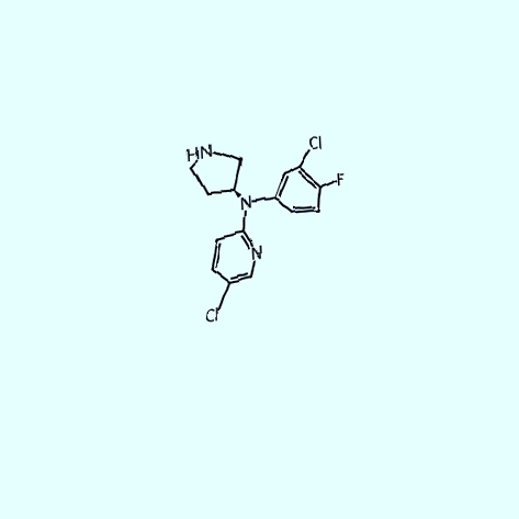 Fc1ccc(N(c2ccc(Cl)cn2)[C@H]2CCNC2)cc1Cl